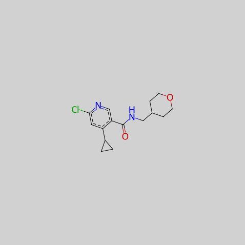 O=C(NCC1CCOCC1)c1cnc(Cl)cc1C1CC1